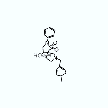 CC1C=CC(CN2CC[C@@]3(C2)[C@@H](O)CN(c2ccccc2)S3(=O)=O)=CC1